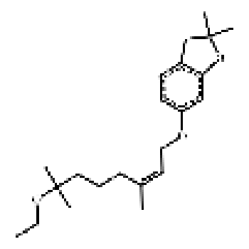 CCOC(C)(C)CCCC(C)=CCOc1ccc2c(c1)OC(C)(C)C2